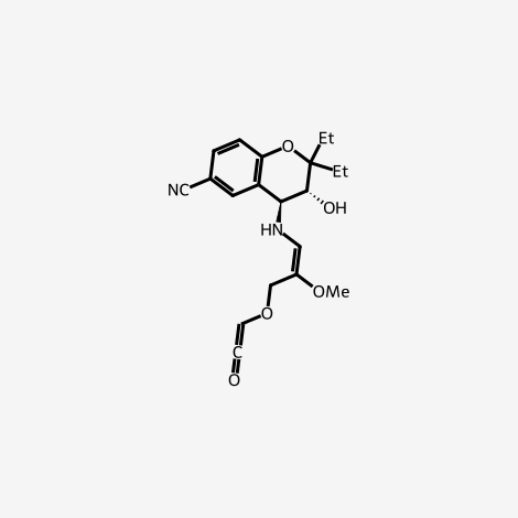 CCC1(CC)Oc2ccc(C#N)cc2[C@H](N/C=C(\COC=C=O)OC)[C@H]1O